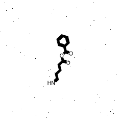 N=CCCCC(=O)OC(=O)c1ccccc1